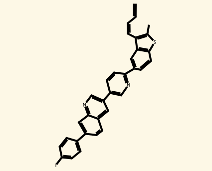 C=C/C=C\c1c(C)sc2ccc(-c3ccc(-c4cnc5cc(-c6ccc(I)cc6)ccc5c4)cn3)cc12